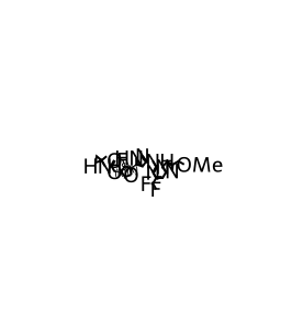 COCc1cn2c(Nc3cc([C@H]4OC[C@@H](OC(=O)NC5(C)CC5)[C@H]4F)[nH]n3)nc(C(F)F)cc2n1